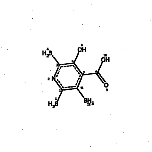 Bc1nc(B)c(O)c(C(=O)O)c1B